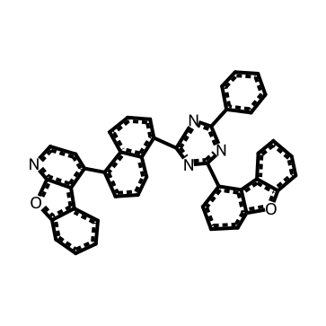 c1ccc(-c2nc(-c3cccc4c(-c5ccnc6oc7ccccc7c56)cccc34)nc(-c3cccc4oc5ccccc5c34)n2)cc1